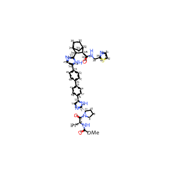 COC(=O)N[C@H](C(=O)N1CCC[C@H]1c1ncc(-c2ccc(-c3ccc(-c4cnc(C5C6CCC(C6)C5C(=O)NCc5nccs5)[nH]4)cc3)cc2)[nH]1)C(C)C